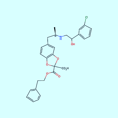 C[C@H](Cc1ccc2c(c1)OC(C(=O)O)(C(=O)OCCc1ccccc1)O2)NCC(O)c1cccc(Cl)c1